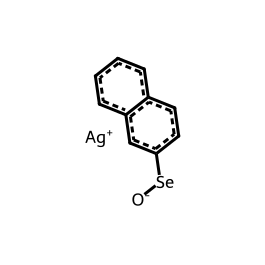 [Ag+].[O-][Se]c1ccc2ccccc2c1